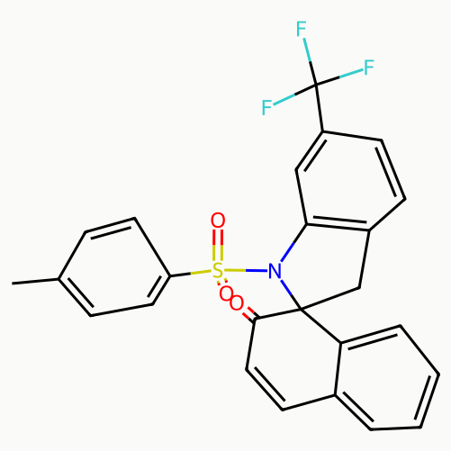 Cc1ccc(S(=O)(=O)N2c3cc(C(F)(F)F)ccc3CC23C(=O)C=Cc2ccccc23)cc1